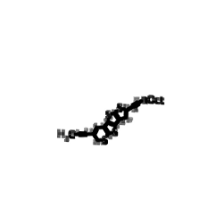 CC#CC1=Cc2c(sc3c2sc2sc(C#CCCCCCCCC)cc23)SC1